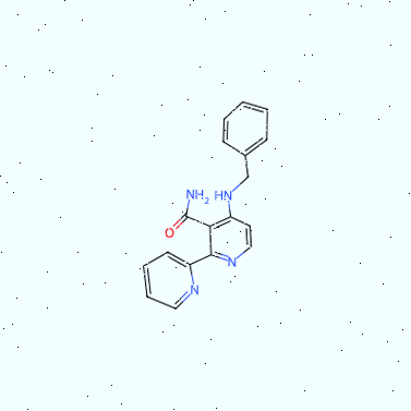 NC(=O)c1c(NCc2ccccc2)ccnc1-c1ccccn1